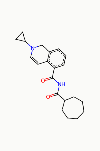 O=C(NC(=O)C1CCCCCC1)c1cccc2c1C=CN(C1CC1)C2